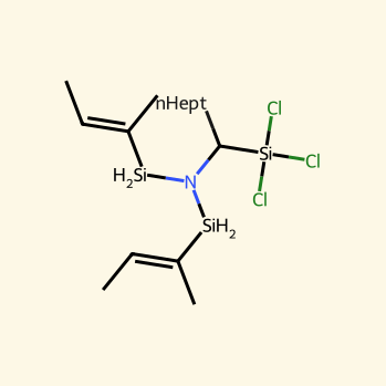 CC=C(C)[SiH2]N([SiH2]C(C)=CC)C(CCCCCCC)[Si](Cl)(Cl)Cl